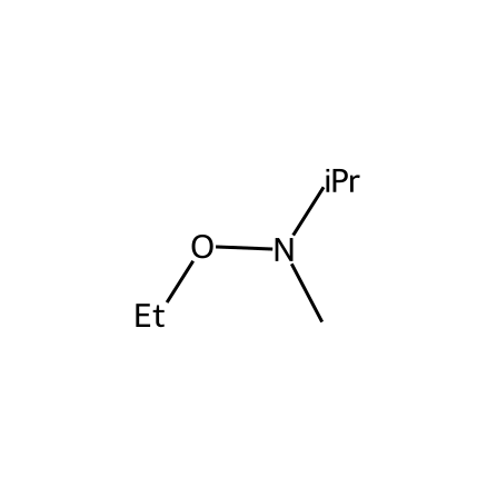 CCON(C)C(C)C